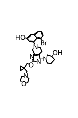 Oc1cc(N2CCc3c(nc(OCC4(CN5CCOCC5)CC4)nc3N3CCC[C@@H](O)C3)C2)c2c(Br)cccc2c1